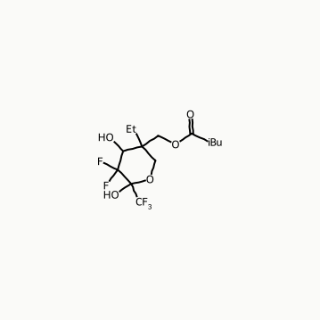 CCC(C)C(=O)OCC1(CC)COC(O)(C(F)(F)F)C(F)(F)C1O